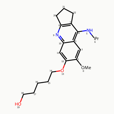 COc1cc2c(NC(C)C)c3c(nc2cc1OCCCCCO)CCC3